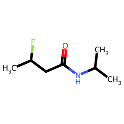 CC(F)CC(=O)NC(C)C